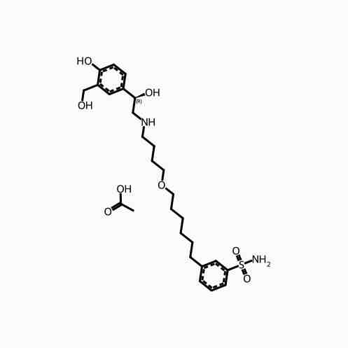 CC(=O)O.NS(=O)(=O)c1cccc(CCCCCCOCCCCNC[C@H](O)c2ccc(O)c(CO)c2)c1